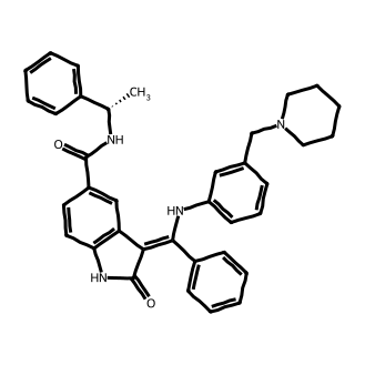 C[C@H](NC(=O)c1ccc2c(c1)C(=C(Nc1cccc(CN3CCCCC3)c1)c1ccccc1)C(=O)N2)c1ccccc1